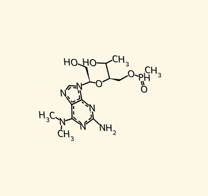 CC(O)[C@@H](CO[PH](C)=O)O[C@H](CO)n1cnc2c(N(C)C)nc(N)nc21